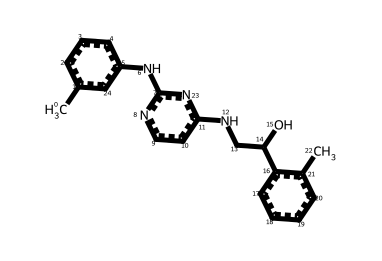 Cc1cccc(Nc2nccc(NCC(O)c3ccccc3C)n2)c1